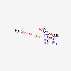 CNC(=O)COCCOCCOCCOCCNc1c(N[C@H](Cc2ccc(O)cc2)C(=O)N[C@@H](CC(N)=O)C(=O)NC)c(=O)c1=O